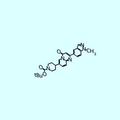 Cn1ncc2cc(-c3cc(=O)n4cc(C5CCN(C(=O)OC(C)(C)C)CC5)ccc4n3)ccc21